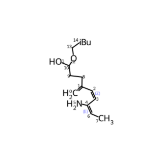 C=C(/C=C\C(N)=C/C)CCC(O)OCC(C)CC